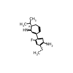 CSc1cc(F)c(C2=CC(=N)[C@@H](C(C)C)CC#C2)cc1N